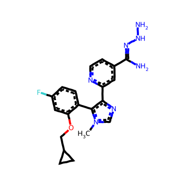 Cn1cnc(-c2cc(/C(N)=N/NN)ccn2)c1-c1ccc(F)cc1OCC1CC1